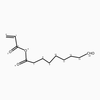 C=CC(=O)OC(=O)CCCCCCCC=O